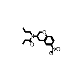 CCCN(C(=O)CC)C1COc2ccc([N+](=O)[O-])cc2C1